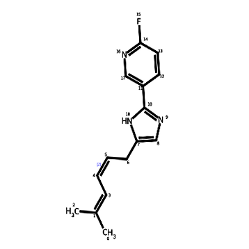 CC(C)=C/C=C\Cc1cnc(-c2ccc(F)nc2)[nH]1